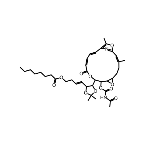 CCCCCCCC(=O)OCC/C=C/C1OC(C)(C)OC1C1OC(=O)/C=C\C=C\c2nc(oc2C)/C=C(/C)CCC2OC2C1OC(=O)NC(C)=O